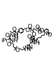 CC(NC(=O)[C@@H](NC(=O)CCC(C)(C)OCCC(C)(C)n1cc(CNC(=O)CCCCCN2C(=O)C=CC2=O)nn1)C(C)C)C(=O)Nc1ccc(COC(=O)N(CCS(C)(=O)=O)COCC(N)=O)cc1